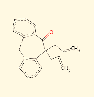 C=CCC1(CC=C)C(=O)c2ccccc2Cc2ccccc21